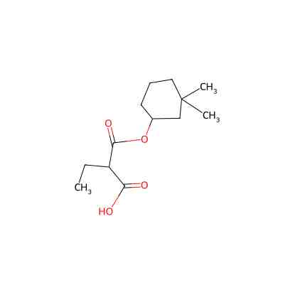 CCC(C(=O)O)C(=O)OC1CCCC(C)(C)C1